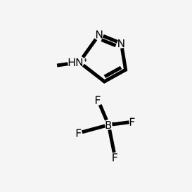 C[NH+]1C=CN=N1.F[B-](F)(F)F